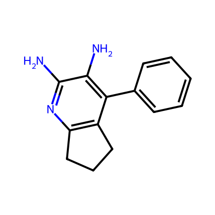 Nc1nc2c(c(-c3ccccc3)c1N)CCC2